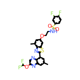 Cc1cc(-c2nc3c(C)cc(OCCNS(=O)(=O)c4ccc(F)c(F)c4)cc3s2)c2ncc(OC(F)F)nc2c1